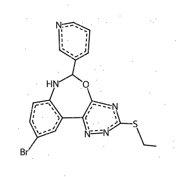 CCSc1nnc2c(n1)OC(c1cccnc1)Nc1ccc(Br)cc1-2